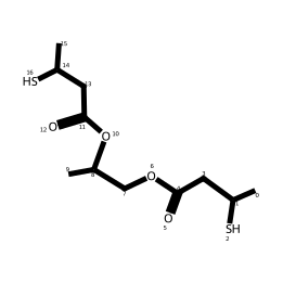 CC(S)CC(=O)OCC(C)OC(=O)CC(C)S